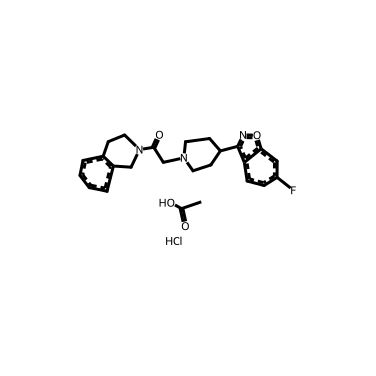 CC(=O)O.Cl.O=C(CN1CCC(c2noc3cc(F)ccc23)CC1)N1CCc2ccccc2C1